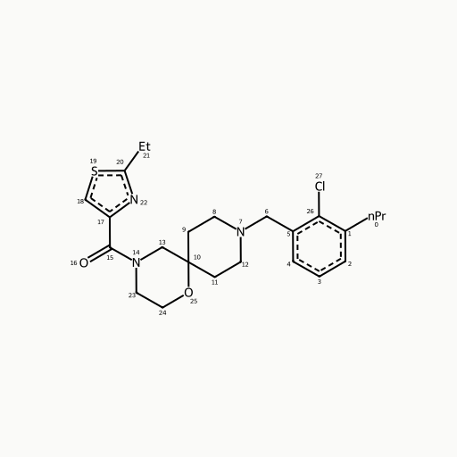 CCCc1cccc(CN2CCC3(CC2)CN(C(=O)c2csc(CC)n2)CCO3)c1Cl